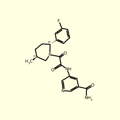 C[C@H]1CC[C@H](c2cccc(F)c2)N(C(=O)C(=O)Nc2cncc(C(N)=O)c2)C1